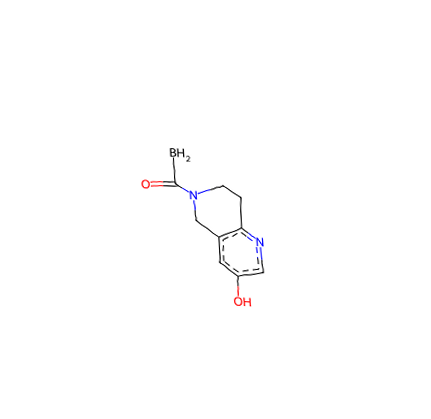 BC(=O)N1CCc2ncc(O)cc2C1